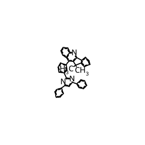 CC1(C)c2ccccc2-c2nc3ccccc3c(-c3cccc(-c4nc(-c5ccccc5)cc(-c5ccccc5)n4)c3)c21